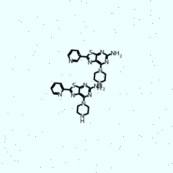 Nc1nc(N2CCNCC2)c2nc(-c3ccccn3)sc2n1.Nc1nc(N2CCNCC2)c2nc(-c3cccnc3)sc2n1